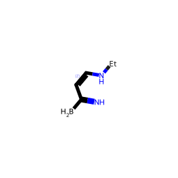 BC(=N)/C=C\NCC